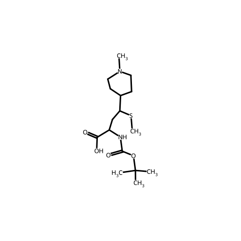 CSC(CC(NC(=O)OC(C)(C)C)C(=O)O)C1CCN(C)CC1